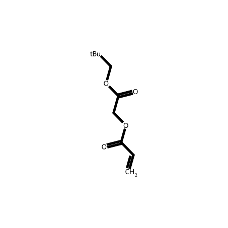 C=CC(=O)OCC(=O)OCC(C)(C)C